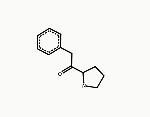 O=C(Cc1ccccc1)C1CCC[N]1